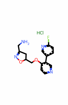 Cl.NCC1=NOC(COc2ccncc2-c2ccc(F)nc2)C1